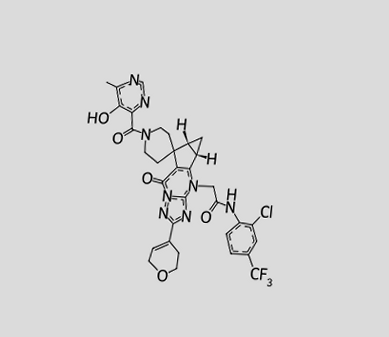 Cc1ncnc(C(=O)N2CCC3(CC2)c2c(n(CC(=O)Nc4ccc(C(F)(F)F)cc4Cl)c4nc(C5=CCOCC5)nn4c2=O)[C@H]2C[C@H]23)c1O